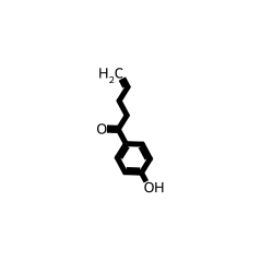 C=CCCC(=O)c1ccc(O)cc1